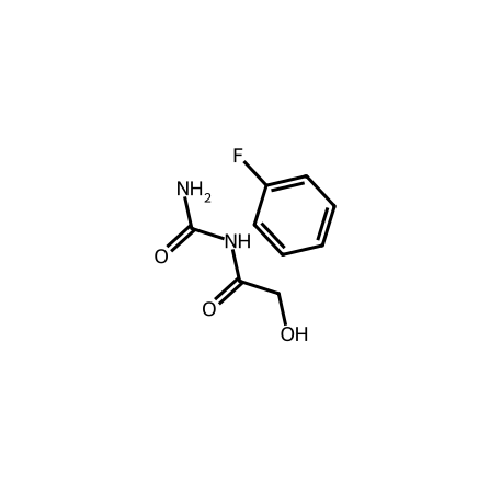 Fc1ccccc1.NC(=O)NC(=O)CO